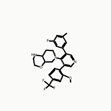 COc1cc(C(F)(F)F)ccc1-c1cncc(-c2cc(C)cc(F)c2)c1N1CCC2NCCOC2C1